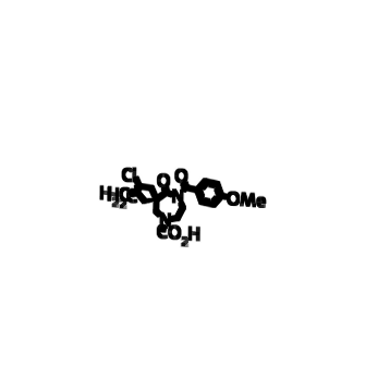 C=CC[C@]1(CC(=C)Cl)CN(C(=O)O)CCN(C(=O)c2ccc(OC)cc2)C1=O